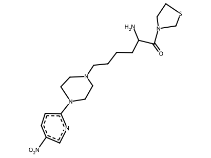 NC(CCCCN1CCN(c2ccc([N+](=O)[O-])cn2)CC1)C(=O)N1CCSC1